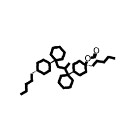 CCCCC[C@H]1CC[C@H](C2(CC(C)C3([C@H]4CC[C@@](CCCCC)(OC=O)CC4)CCCCC3)CCCCC2)CC1